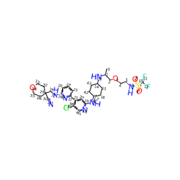 CC(COCCNS(=O)(=O)C(F)F)NC1CCC(Nc2cc(-c3cccc(NCC4(C#N)CCOCC4)n3)c(Cl)cn2)CC1